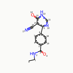 CCNC(=O)c1ccc(-c2nc[nH]c(=O)c2C#N)cc1